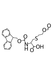 O=COCCSCC(NC(=O)OCC1c2ccccc2-c2ccccc21)C(=O)O